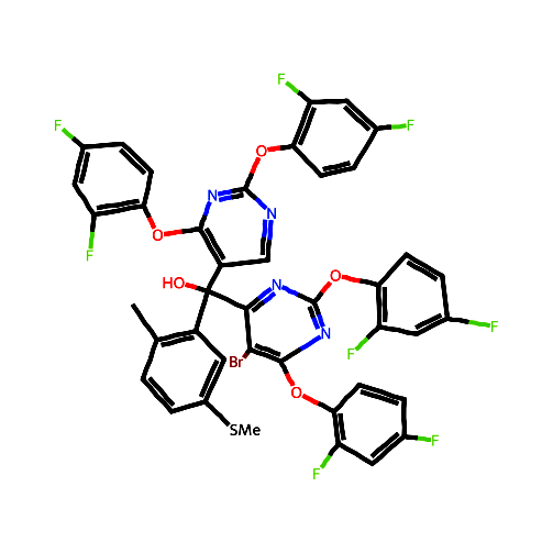 CSc1ccc(C)c(C(O)(c2cnc(Oc3ccc(F)cc3F)nc2Oc2ccc(F)cc2F)c2nc(Oc3ccc(F)cc3F)nc(Oc3ccc(F)cc3F)c2Br)c1